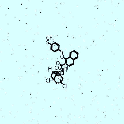 O=C(N[C@@]1(C(=O)O)CC2(Cl)C[C@]3(Cl)C[C@H]1C[C@](Cl)(C2)C3)c1ccc2ccccc2c1OCc1ccc(SC(F)(F)F)cc1